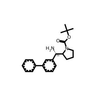 CC(C)(C)OC(=O)N1CCCC1[C@@H](N)c1cccc(-c2ccccc2)c1